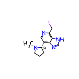 CN1CCC[C@H]1c1cnc(CI)c2[nH]cnc12